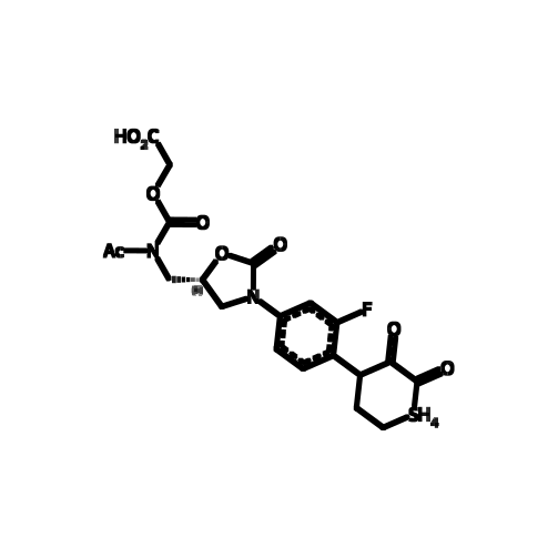 CC(=O)N(C[C@H]1CN(c2ccc(C3CC[SH4]C(=O)C3=O)c(F)c2)C(=O)O1)C(=O)OCC(=O)O